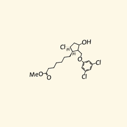 COC(=O)CCCCCC[C@@H]1C(COc2cc(Cl)cc(Cl)c2)C(O)C[C@H]1Cl